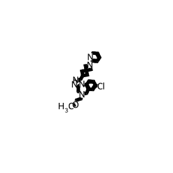 COCCN1Cc2cc(Cl)ccc2-n2c(nnc2C2CC3(C2)CN(c2ccccn2)C3)C1